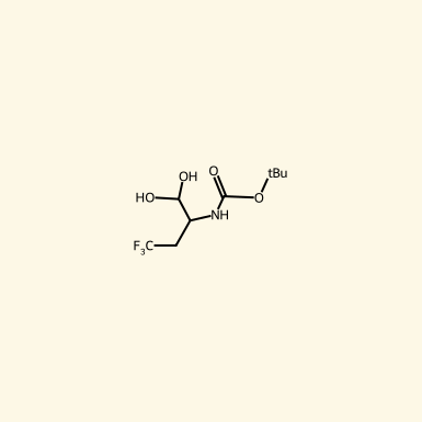 CC(C)(C)OC(=O)NC(CC(F)(F)F)C(O)O